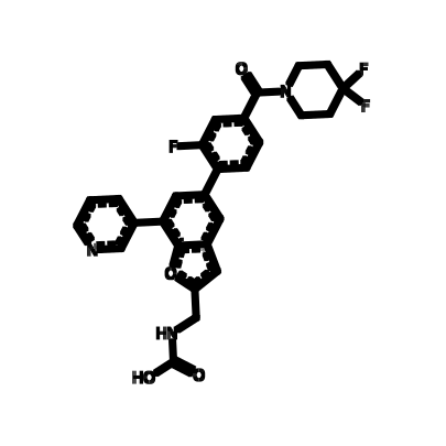 O=C(O)NCc1cc2cc(-c3ccc(C(=O)N4CCC(F)(F)CC4)cc3F)cc(-c3cccnc3)c2o1